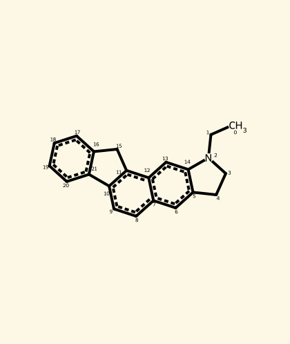 CCN1CCc2cc3ccc4c(c3cc21)Cc1ccccc1-4